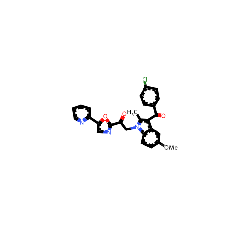 COc1ccc2c(c1)c(C(=O)c1ccc(Cl)cc1)c(C)n2CC(=O)c1ncc(-c2ccccn2)o1